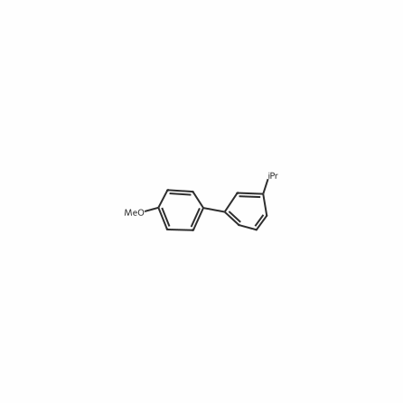 COc1ccc(-c2cccc(C(C)C)c2)cc1